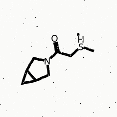 C[SH](C)CC(=O)N1CC2CC2C1